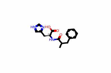 CC(Cc1ccccc1)C(=O)N[C@@H](Cc1c[nH]cn1)C(=O)O